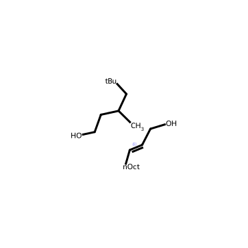 CC(CCO)CC(C)(C)C.CCCCCCCC/C=C/CO